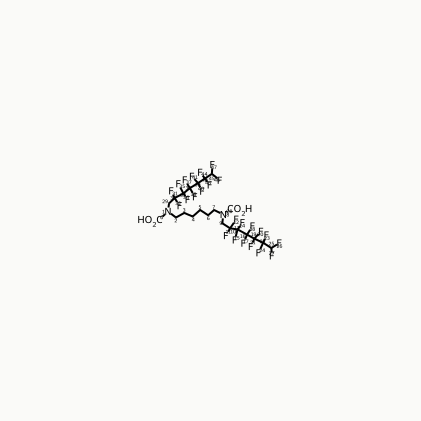 O=C(O)N(CCCCCCN(CC(F)(F)C(F)(F)C(F)(F)C(F)(F)C(F)(F)C(F)F)C(=O)O)CC(F)(F)C(F)(F)C(F)(F)C(F)(F)C(F)(F)C(F)F